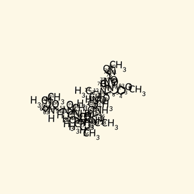 COc1ccc(C[C@@H](C(=O)N[C@@H](CC(C)C)C(=O)NC(C)(C)C(=O)N[C@@H](CC(C)C)C(=O)N[C@@H](CC(C)C)C(=O)NC(C)(C)C(=O)NC(C)(C)C(=O)NCCC(=O)NC2(CN(C)C)CCC2)N(C=O)[C@@H]2CCCN2C(=O)c2coc(C)n2)cc1